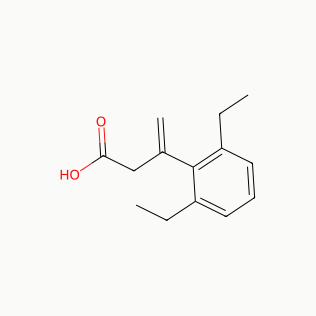 C=C(CC(=O)O)c1c(CC)cccc1CC